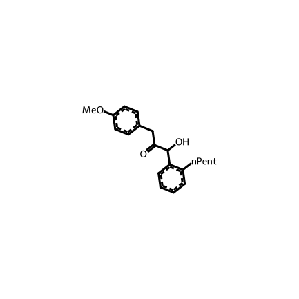 CCCCCc1ccccc1C(O)C(=O)Cc1ccc(OC)cc1